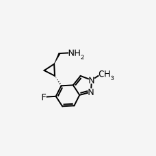 Cn1cc2c([C@@H]3C[C@H]3CN)c(F)ccc2n1